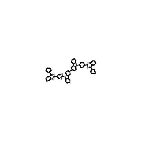 c1ccc(-c2nc(-c3ccc(-n4c5ccccc5c5cc(-c6ccc7c(c6)c6ccccc6n7-c6ncc(-c7nc(-c8ccccc8)c8ccccc8n7)cn6)ccc54)cc3)nc3ccccc23)cc1